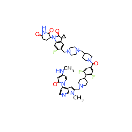 CNc1ccn(-c2ccnc3c2cc(CN2CCC(c4c(F)cc(C(=O)N5CCC(CN6CCN(Cc7cc8c(cc7F)N(C7CCC(=O)NC7=O)C(=O)C87CC7)CC6)CC5)cc4F)CC2)n3C)c(=O)c1